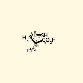 CC(=O)S.CC(C)[C@H](N)C(=O)O